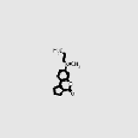 CCCN(C)c1ccc2c3c(c(=O)oc2c1)CCC3